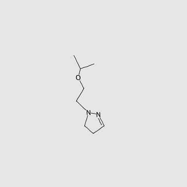 CC(C)OCCN1CCC=N1